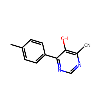 Cc1ccc(-c2ncnc(C#N)c2O)cc1